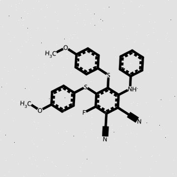 COc1ccc(Sc2c(F)c(C#N)c(C#N)c(Nc3ccccc3)c2Sc2ccc(OC)cc2)cc1